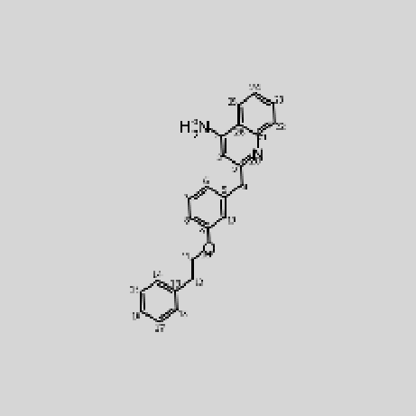 Nc1cc(Cc2cccc(OCCc3ccccc3)c2)nc2ccccc12